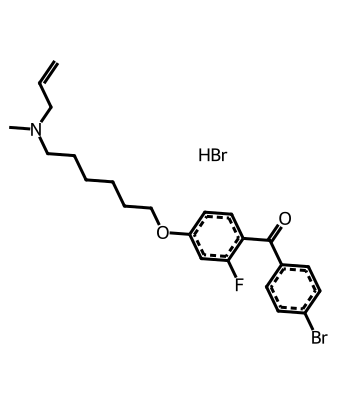 Br.C=CCN(C)CCCCCCOc1ccc(C(=O)c2ccc(Br)cc2)c(F)c1